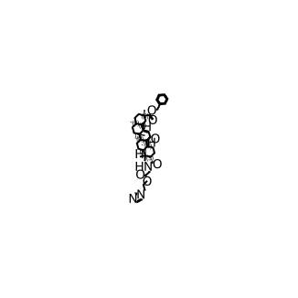 CC1(C)[C@@H](C(=O)NCC(=O)OCCn2ccnc2)CC[C@]2(C)[C@H]3C(=O)C=C4[C@@H]5C[C@@](C)(C(=O)OCc6ccccc6)CC[C@]5(C)CC[C@@]4(C)[C@]3(C)CC[C@@H]12